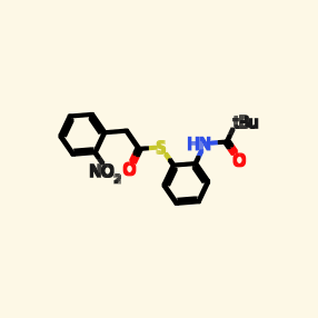 CC(C)(C)C(=O)Nc1ccccc1SC(=O)Cc1ccccc1[N+](=O)[O-]